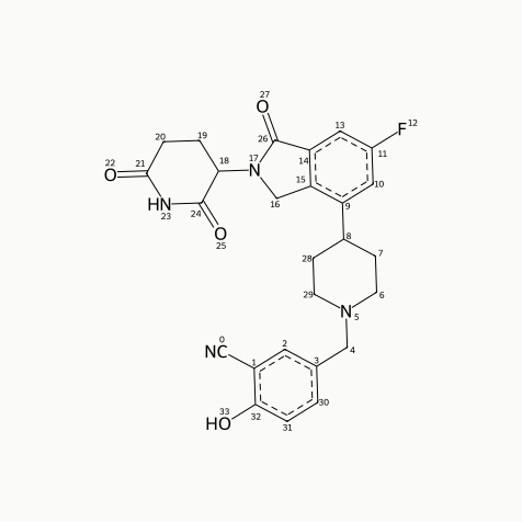 N#Cc1cc(CN2CCC(c3cc(F)cc4c3CN(C3CCC(=O)NC3=O)C4=O)CC2)ccc1O